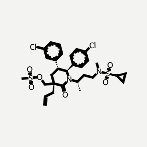 C=CC[C@@]1(COS(C)(=O)=O)C[C@H](c2cccc(Cl)c2)[C@@H](c2ccc(Cl)cc2)N([C@@H](C)CCN(C)S(=O)(=O)C2CC2)C1=O